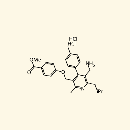 COC(=O)c1ccc(OCc2c(C)nc(CC(C)C)c(CN)c2-c2ccc(C)cc2)cc1.Cl.Cl